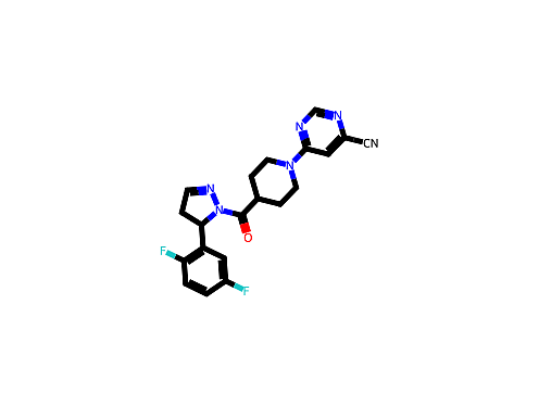 N#Cc1cc(N2CCC(C(=O)N3N=CCC3c3cc(F)ccc3F)CC2)ncn1